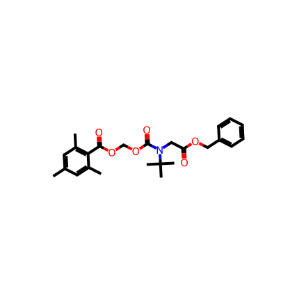 Cc1cc(C)c(C(=O)OCOC(=O)N(CC(=O)OCc2ccccc2)C(C)(C)C)c(C)c1